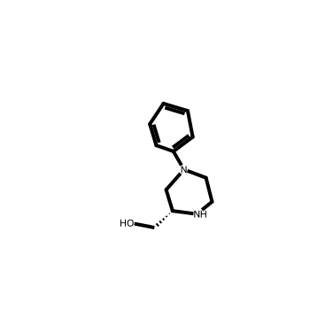 OC[C@@H]1CN(c2ccccc2)CCN1